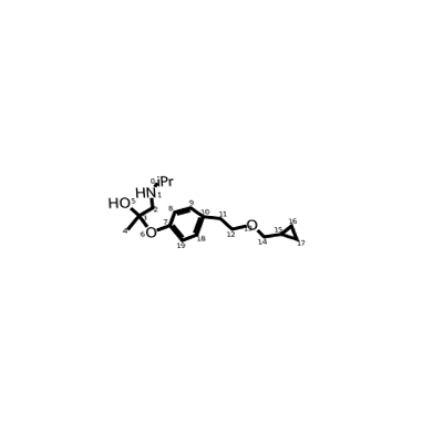 CC(C)NCC(C)(O)Oc1ccc(CCOCC2CC2)cc1